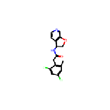 Cc1cc(Cl)cc(Cl)c1CC(=O)NC1COc2cnccc21